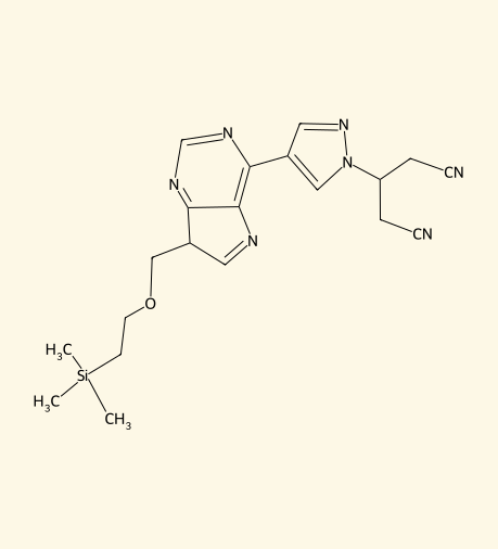 C[Si](C)(C)CCOCC1C=Nc2c(-c3cnn(C(CC#N)CC#N)c3)ncnc21